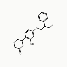 CCC(COc1ccc(C2CCCC(=O)C2)c(O)c1)c1ccccc1